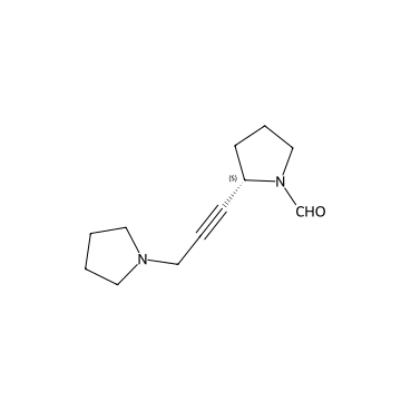 O=CN1CCC[C@H]1C#CCN1CCCC1